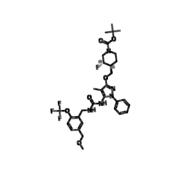 COCc1ccc(OC(F)(F)F)c(CNC(=O)Nc2c(C)c(OC[C@@H]3CCN(C(=O)OC(C)(C)C)C[C@H]3F)nn2-c2ccccc2)c1